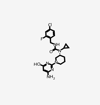 Nc1cc(O)nc(N2CCC[C@@H](N(C(=O)NCc3ccc(Cl)cc3F)C3CC3)C2)n1